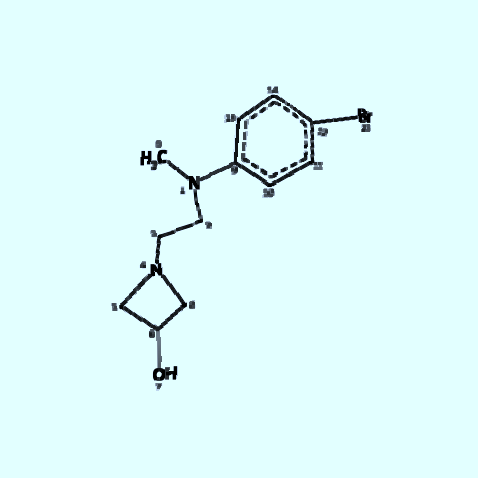 CN(CCN1CC(O)C1)c1ccc(Br)cc1